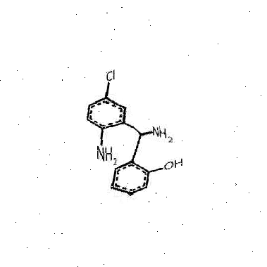 Nc1ccc(Cl)cc1C(N)c1ccccc1O